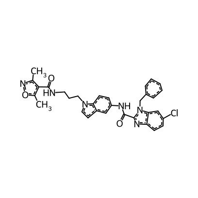 Cc1noc(C)c1C(=O)NCCCn1ccc2cc(NC(=O)c3nc4ccc(Cl)cc4n3Cc3ccccc3)ccc21